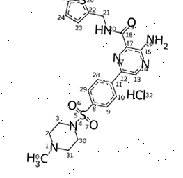 CN1CCN(S(=O)(=O)c2ccc(-c3cnc(N)c(C(=O)NCc4cccs4)n3)cc2)CC1.Cl